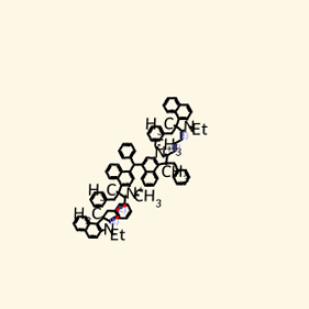 CCN1/C(=C/C=C/C2=[N+](C)c3cc(C(c4ccccc4)c4cc5c(c6ccccc46)C(C)(Cc4ccccc4)C(/C=C/C=C4/N(CC)c6ccc7ccccc7c6C4(C)Cc4ccccc4)=[N+]5C)c4ccccc4c3C2(C)Cc2ccccc2)C(C)(Cc2ccccc2)c2c1ccc1ccccc21